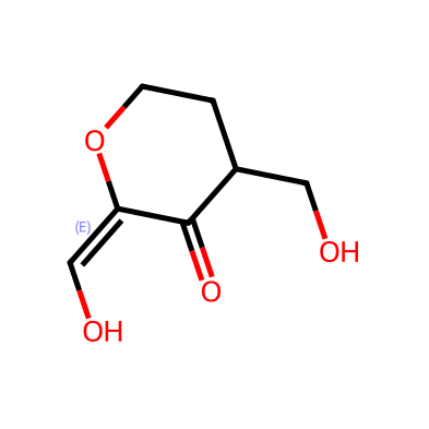 O=C1/C(=C\O)OCCC1CO